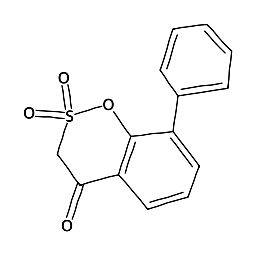 O=C1CS(=O)(=O)Oc2c1cccc2-c1ccccc1